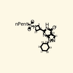 CCCCCS(=O)(=O)N1CC(c2nc3c(cnn3C3CCCCC3)c(=O)[nH]2)C1